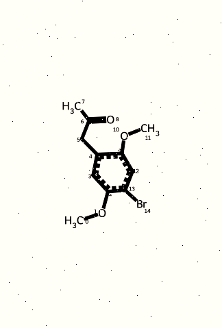 COc1cc(CC(C)=O)c(OC)cc1Br